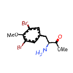 COC(=O)[C@@H](N)Cc1cc(Br)c(OC)c(Br)c1